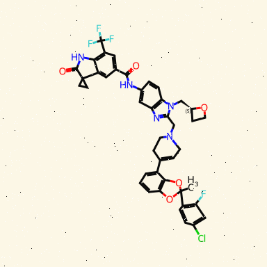 CC1(c2ccc(Cl)cc2F)Oc2cccc(C3=CCN(Cc4nc5cc(NC(=O)c6cc(C(F)(F)F)c7c(c6)C6(CC6)C(=O)N7)ccc5n4C[C@@H]4CCO4)CC3)c2O1